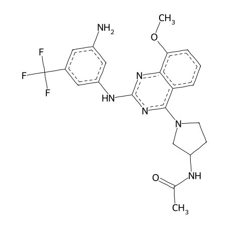 COc1cccc2c(N3CCC(NC(C)=O)C3)nc(Nc3cc(N)cc(C(F)(F)F)c3)nc12